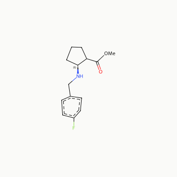 COC(=O)C1CCC[C@@H]1NCc1ccc(F)cc1